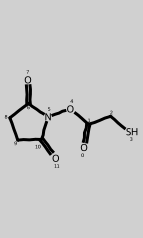 O=C(CS)ON1C(=O)CCC1=O